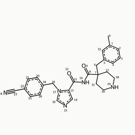 Cc1cccc(CC2(C(=O)NC(=O)c3cncn3Cc3ccc(C#N)cc3)CCNCC2)c1